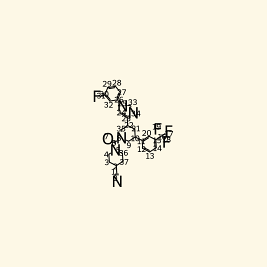 N#CC1CCN(C(=O)N2CC(c3cccc(C(F)(F)F)c3)CC(c3cn(-c4cccc(F)c4)cn3)C2)CC1